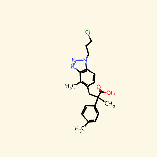 Cc1ccc(C(C)(Cc2ccc3c(nnn3CCCCl)c2C)C(=O)O)cc1